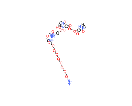 COc1cc2c(cc1OCCCOc1cc3c(cc1OC)C(=O)N1CCC[C@H]1[C@H](O)N3C(=O)OCc1ccc(NC(=O)[C@H](C)NC(=O)[C@@H](NC(=O)CCOCCOCCOCCOCCOCCOCCOCCOCCN=[N+]=[N-])C(C)C)cc1)N=C[C@@H]1CCCN1C2=O